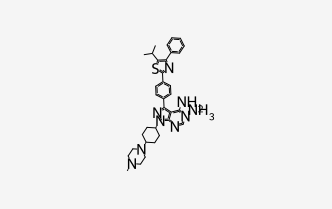 CC(C)c1sc(-c2ccc(-c3nn(C4CCC(N5CCN(C)CC5)CC4)c4ncnc(N)c34)cc2)nc1-c1ccccc1.N